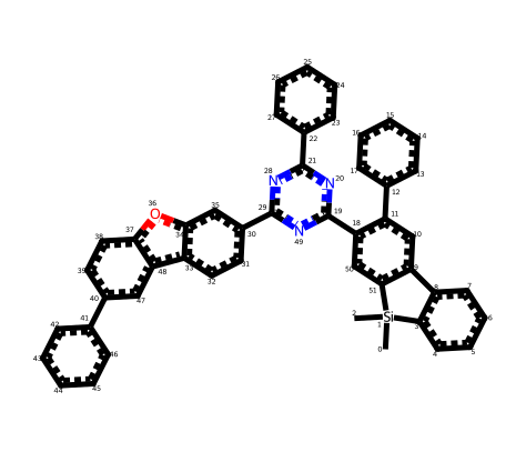 C[Si]1(C)c2ccccc2-c2cc(-c3ccccc3)c(-c3nc(-c4ccccc4)nc(-c4ccc5c(c4)oc4ccc(-c6ccccc6)cc45)n3)cc21